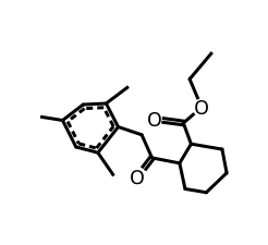 CCOC(=O)C1CCCCC1C(=O)Cc1c(C)cc(C)cc1C